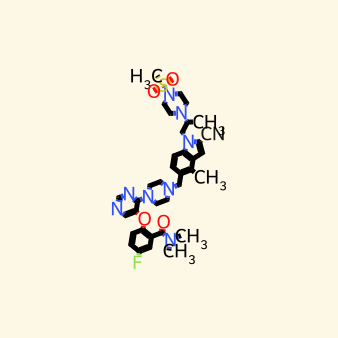 Cc1c(CN2CCN(c3ncncc3Oc3ccc(F)cc3C(=O)N(C)C)CC2)ccc2c1cc(C#N)n2CC(C)N1CCN(S(C)(=O)=O)CC1